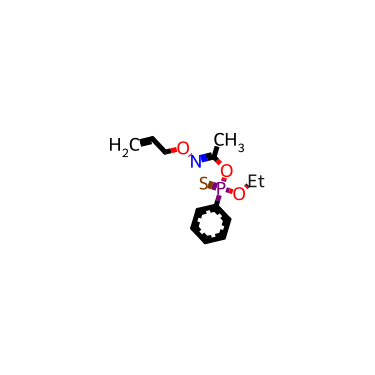 C=CCON=C(C)OP(=S)(OCC)c1ccccc1